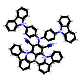 N#Cc1c(N(c2ccc(-n3c4ccccc4c4ccccc43)cc2)c2ccc(-n3c4ccccc4c4ccccc43)cc2)c(C#N)c2c3c1-n1c4ccccc4c4cccc(c41)B3c1cccc3c4ccccc4n-2c13